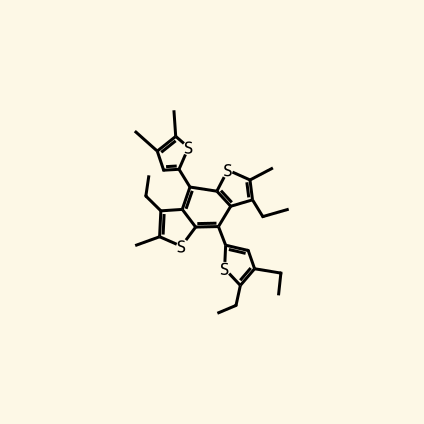 CCc1cc(-c2c3sc(C)c(CC)c3c(-c3cc(C)c(C)s3)c3sc(C)c(CC)c23)sc1CC